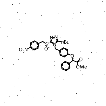 CCCCc1nnc([S+]([O-])Cc2ccc([N+](=O)[O-])cc2)n1Cc1ccc(OC(C(=O)OC)c2ccccc2)cc1